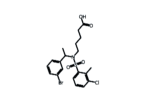 Cc1c(Cl)cccc1S(=O)(=O)N(CCCCC(=O)O)C(C)c1cccc(Br)c1